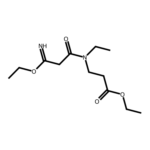 CCOC(=N)CC(=O)N(CC)CCC(=O)OCC